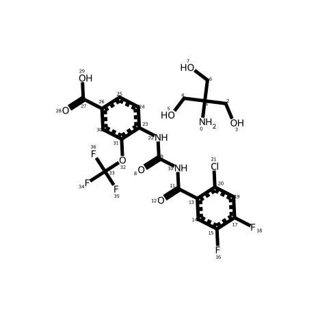 NC(CO)(CO)CO.O=C(NC(=O)c1cc(F)c(F)cc1Cl)Nc1ccc(C(=O)O)cc1OC(F)(F)F